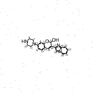 OC1Oc2cc(N3CCNCC3)ccc2C=C1c1cn2ccccc2n1